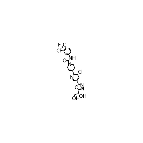 O=C(Nc1ccc(C(F)(F)F)c(Cl)c1)N1CC=C(c2ncc(-c3nnc([C@@H](O)CO)o3)cc2Cl)CC1